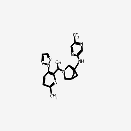 Cc1ccc(-n2nccn2)c(C(O)N2CC3CCC2C(Nc2cnc(C(F)(F)F)cn2)C3)n1